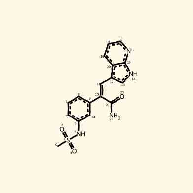 CS(=O)(=O)Nc1cccc(C(=Cc2c[nH]c3ncccc23)C(N)=O)c1